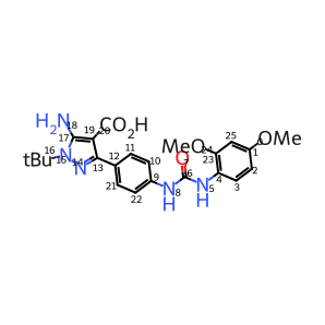 COc1ccc(NC(=O)Nc2ccc(-c3nn(C(C)(C)C)c(N)c3C(=O)O)cc2)c(OC)c1